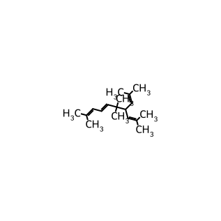 CC(C)=CC=CC(C)(C)C(C=C(C)C)C=C(C)C